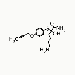 CC#CCOc1ccc(SC(O)(CCCCN)C(N)=O)cc1